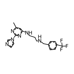 Cc1cc(NCCCNCc2ccc(C(F)(F)F)cc2)nc(-n2ccnc2)n1